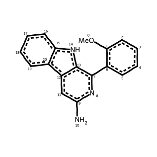 COc1ccccc1-c1nc(N)cc2c1[nH]c1ccccc12